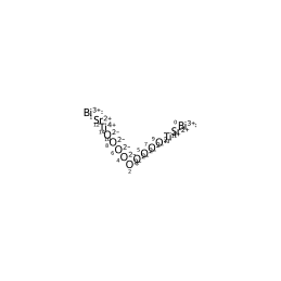 [Bi+3].[Bi+3].[O-2].[O-2].[O-2].[O-2].[O-2].[O-2].[O-2].[O-2].[O-2].[Sr+2].[Sr+2].[Ti+4].[Ti+4]